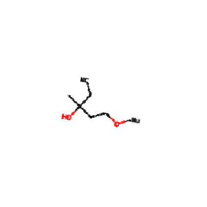 CCC(C)OCCC(C)(O)CC#N